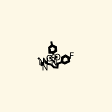 Cc1ccc(S(=O)(=O)N2C(c3ccc(F)cc3)CCC2c2ncn(C)n2)cc1